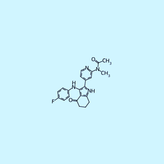 CC(=O)N(C)c1cc(-c2[nH]c3c(c2Nc2ccc(F)cc2)C(=O)CCC3)ccn1